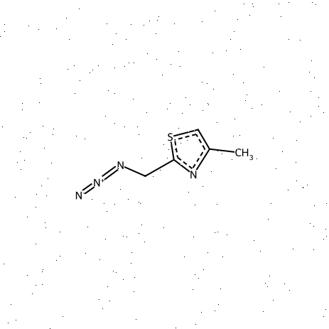 Cc1csc(CN=[N+]=[N-])n1